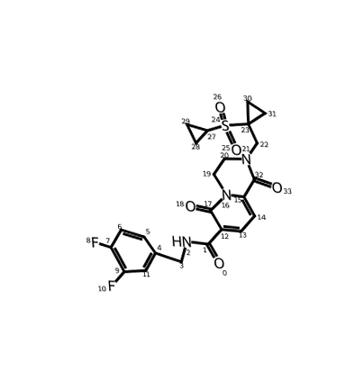 O=C(NCc1ccc(F)c(F)c1)c1ccc2n(c1=O)CCN(CC1(S(=O)(=O)C3CC3)CC1)C2=O